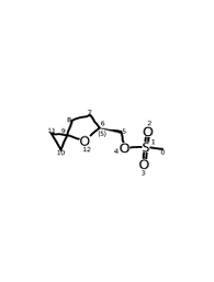 CS(=O)(=O)OC[C@@H]1CCC2(CC2)O1